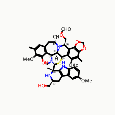 COc1ccc2[nH]c3c(c2c1)C[C@@H](CO)N[C@]3(C)CS[C@@H]1c2c(OC(C)=O)c(C)c3c(c2[C@H](COC=O)N2[C@@H]1[C@@H](N(C)C)c1c(cc(C)c(OC)c1O)C[C@@H]2C#N)OCO3